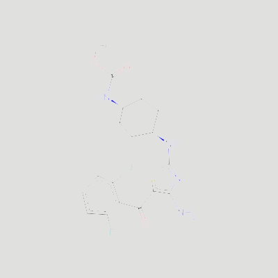 CC(C)(C)OC(=O)N[C@H]1CC[C@@H](Nc2nc(N)c(C(=O)c3c(F)cccc3F)s2)CC1